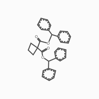 O=C(OC(c1ccccc1)c1ccccc1)C1(C(=O)OC(c2ccccc2)c2ccccc2)CCC1